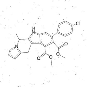 COC(=O)c1c(-c2ccc(Cl)cc2)cc2[nH]c3c(c2c1C(=O)OC)Cc1cccn1C3C